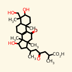 CC(CC(=O)CC(C)C1CC(O)C2(C)C3=C(C(=O)CC12C)C1(C)CCC(O)C(C)(CO)C1CC3)C(=O)O